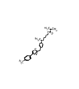 C=C(C)C(=O)OCCCCCC(=C)c1ccc(Cc2nc(-c3ccc(C)cc3)cs2)cc1